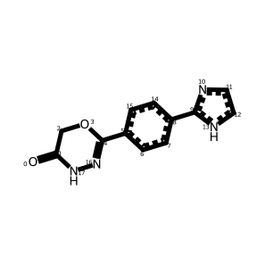 O=C1COC(c2ccc(-c3ncc[nH]3)cc2)=NN1